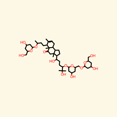 CC1=CCC2C3CCC(C(O)CCC(OC4CC(O)CC(COC5CC(O)CC(CO)O5)O4)C(C)(C)O)C3(C)CC(=O)C2(C)C1CCC(C)OC1CC(O)CC(CO)O1